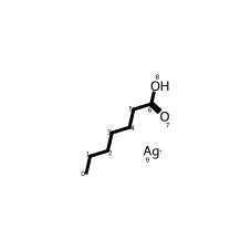 CCCCCCC(=O)O.[Ag]